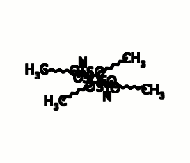 CCCCCCCCOC(=O)C(C#N)=C1Sc2c(OCCCCCCCC)c3c(c(OCCCCCCCC)c2S1)SC(=C(C#N)C(=O)OCCCCCCCC)S3